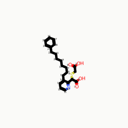 O=C(O)CSC(C(=O)O)c1ncccc1CCCCCCCCc1ccccc1